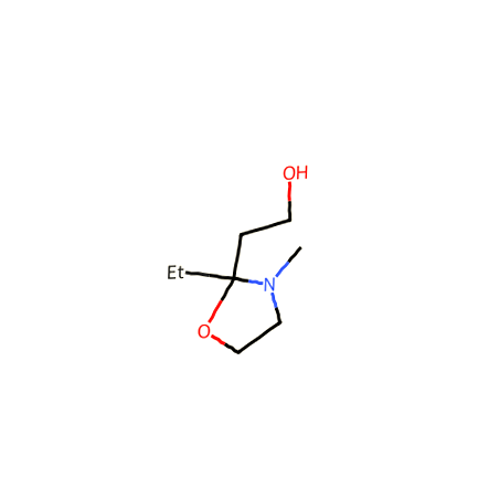 CCC1(CCO)OCCN1C